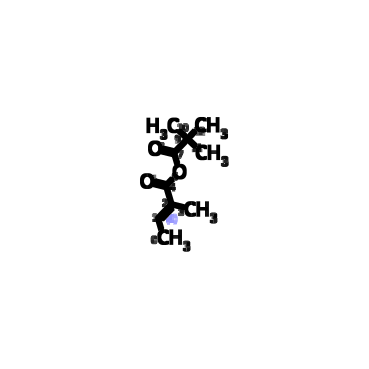 C/C=C(\C)C(=O)OC(=O)C(C)(C)C